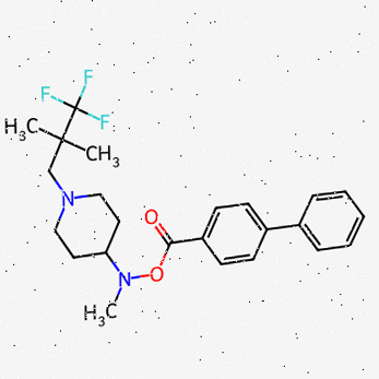 CN(OC(=O)c1ccc(-c2ccccc2)cc1)C1CCN(CC(C)(C)C(F)(F)F)CC1